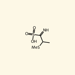 CSC(C)C(=N)S(=O)(=O)O